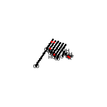 CCCCCCCCCCCC(=O)[O-].CCCCCCCCCCCC(=O)[O-].CCCCCCCCCCCCCC(=O)[O-].CCCCCCCCCCCCCC(=O)[O-].CCCCCCCCCCCCCCCC(=O)O.CCCCCCCCCCCCCCCC(=O)[O-].CCCCCCCCCCCCCCCCCC(=O)[O-].OCCN(CCO)CCO.[K+].[K+].[K+].[K+].[Na+].[Na+]